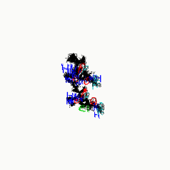 CC(C)n1nccc1C(=O)N[C@H](C(=O)Nc1cc(Cl)c([C@H](C)C(=O)NCC(F)(F)F)cc1F)C(C1CC1)C1CC1C1CNC[C@H](n2nccc2C(=O)N[C@H](C(=O)Nc2ccc([C@H](C)C(=O)NCC(F)(F)F)cc2F)C(C2CC2)C2CC2)C1